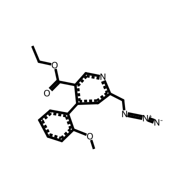 CCOC(=O)c1cnc(CN=[N+]=[N-])cc1-c1ccccc1OC